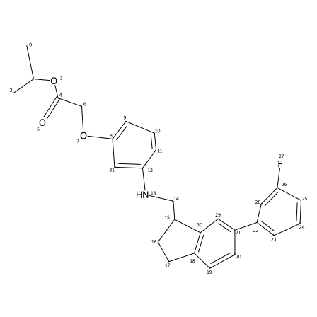 CC(C)OC(=O)COc1cccc(NCC2CCc3ccc(-c4cccc(F)c4)cc32)c1